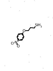 O=[N+]([O-])c1ccc(OCCC[SiH3])cc1